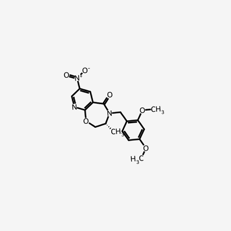 COc1ccc(CN2C(=O)c3cc([N+](=O)[O-])cnc3OC[C@H]2C)c(OC)c1